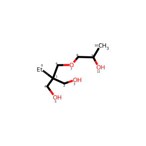 CCC(CO)(CO)COCC(C)O